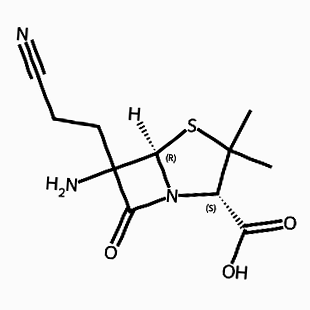 CC1(C)S[C@H]2N(C(=O)C2(N)CCC#N)[C@H]1C(=O)O